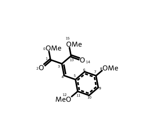 COC(=O)C(=Cc1cc(OC)ccc1OC)C(=O)OC